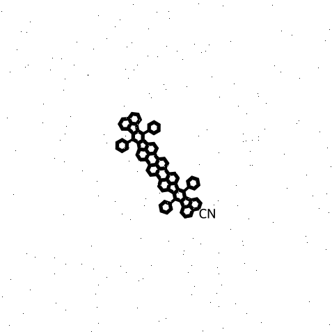 N#Cc1ccc2c3c(-c4ccccc4)c4c5ccc6c7ccc8c9ccc%10c%11c(-c%12ccccc%12)c%12c%13cccc%14cccc(c%12c(-c%12ccccc%12)c%11c%11ccc(c%12ccc(c%15ccc(c4c(-c4ccccc4)c3c3cccc1c32)c5c%156)c7c%128)c9c%11%10)c%14%13